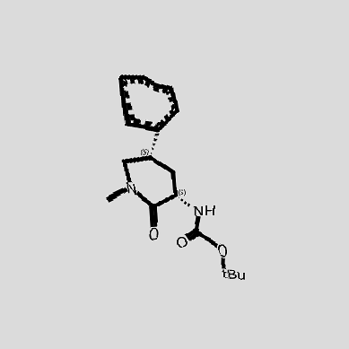 CN1C[C@H](c2ccccc2)C[C@H](NC(=O)OC(C)(C)C)C1=O